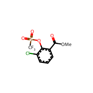 COC(=O)c1cccc(Cl)c1OS(=O)(=O)C(F)(F)F